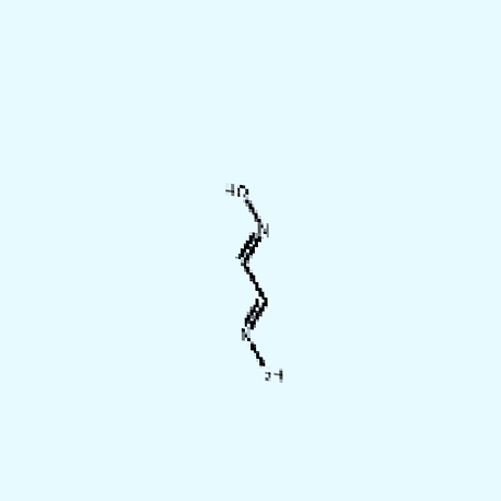 ON=CC=NS